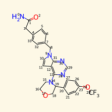 NC(=O)Cc1ccc(Cn2ccc3c(N4CCOCC4c4ccc(OC(F)(F)F)cc4)ncnc32)cc1